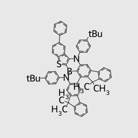 CC(C)(C)c1ccc(N2B3c4sc5ccc(-c6ccccc6)cc5c4N(c4ccc(C(C)(C)C)cc4)c4cc5c(c(c43)-c3cc4c(cc32)C(C)(C)c2ccccc2-4)C(C)(C)c2ccccc2-5)cc1